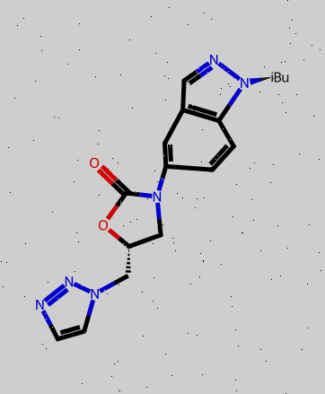 CC[C@H](C)n1ncc2cc(N3C[C@H](Cn4ccnn4)OC3=O)ccc21